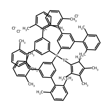 CC1=C(C)C(C)[C]([Ti+3][Si](c2cc(-c3c(C)cccc3C)cc(-c3c(C)cccc3C)c2)(c2cc(-c3c(C)cccc3C)cc(-c3c(C)cccc3C)c2)c2cc(-c3c(C)cccc3C)cc(-c3c(C)cccc3C)c2)=C1C.[Cl-].[Cl-].[Cl-]